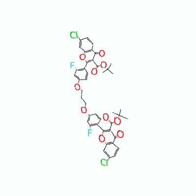 CC(C)(C)OC(=O)c1c(-c2ccc(OCCCOc3ccc(-c4oc5cc(Cl)ccc5c(=O)c4C(=O)OC(C)(C)C)c(F)c3)cc2F)oc2cc(Cl)ccc2c1=O